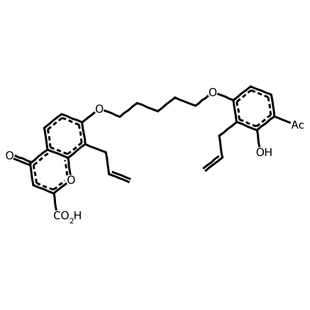 C=CCc1c(OCCCCCOc2ccc3c(=O)cc(C(=O)O)oc3c2CC=C)ccc(C(C)=O)c1O